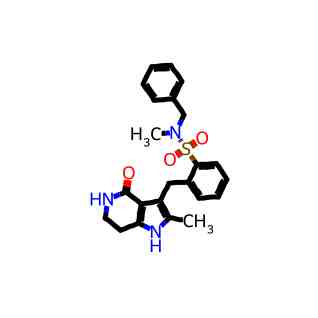 Cc1[nH]c2c(c1Cc1ccccc1S(=O)(=O)N(C)Cc1ccccc1)C(=O)NCC2